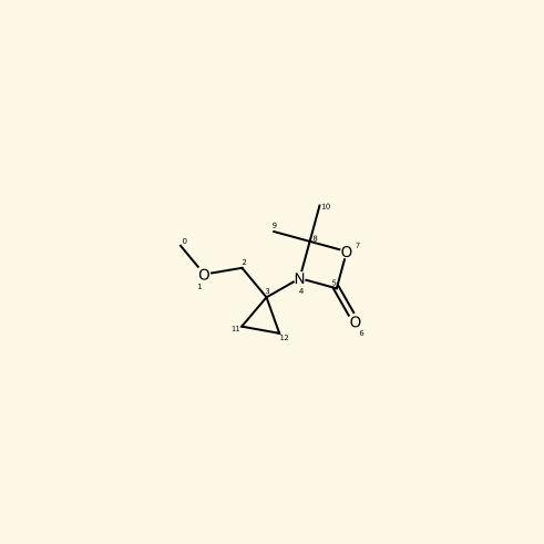 COCC1(N2C(=O)OC2(C)C)CC1